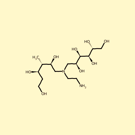 C[C@@H]([C@H](O)CCO)[C@@H](O)CN(CCN)C[C@H](O)[C@@H](O)[C@H](O)[C@H](O)CO